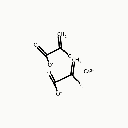 C=C(Cl)C(=O)[O-].C=C(Cl)C(=O)[O-].[Ca+2]